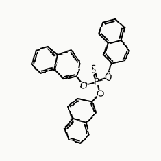 S=P(Oc1ccc2ccccc2c1)(Oc1ccc2ccccc2c1)Oc1ccc2ccccc2c1